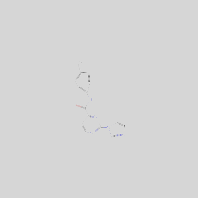 N#Cc1ccc(NC(=O)c2ccnc(-n3ccnc3)n2)cc1